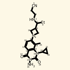 CCC(NCCC#N)C1CN(c2ccc3c(=O)n(N)c(=O)n(C4CC4)c3c2C)C1